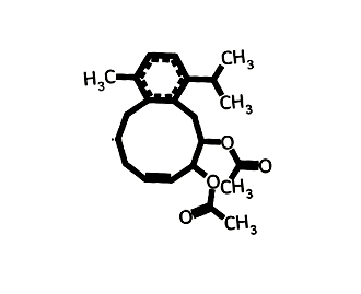 CC(=O)OC1/C=C\C[CH]Cc2c(C)ccc(C(C)C)c2CC1OC(C)=O